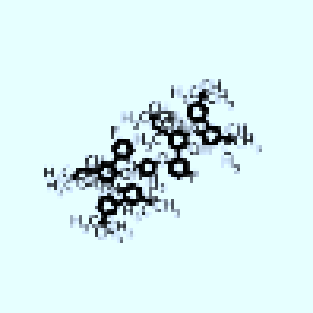 CC(C)(C)CC(C)(C)c1cc(-c2cc(F)ccc2OC2CCC(Oc3ccc(F)cc3-c3cc(C(C)(C)CC(C)(C)C)cc(-n4c5ccc(C(C)(C)C)cc5c5cc(C(C)(C)C)ccc54)c3O)C2)c(O)c(-n2c3ccc(C(C)(C)C)cc3c3cc(C(C)(C)C)ccc32)c1